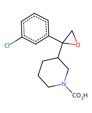 O=C(O)N1CCCC(C2(c3cccc(Cl)c3)CO2)C1